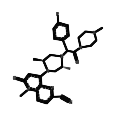 C[C@@H]1CN(c2cc(=O)n(C)c3ccc(C#N)nc23)[C@@H](C)CN1C(C(=O)N1CCN(C)CC1)c1ccc(F)cc1